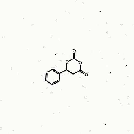 O=C1CC(c2ccccc2)SC(=O)O1